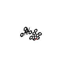 c1ccc(-c2nc(-c3ccc(-c4cc5c(c6ccccc46)-c4c(c6ccccc6c6ccccc46)C54c5ccccc5-c5ccccc54)cc3)nc3ccccc23)cc1